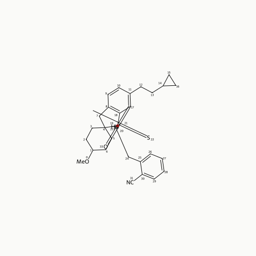 COC1CCC2(CC1)Cc1ccc(CCC3CC3)cc1C21NC(=S)N(Cc2ccccc2C#N)C1=O